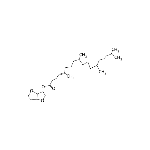 C/C(=C\CCC(=O)OC1COC2CCOC21)CCCC(C)CCCC(C)CCCC(C)C